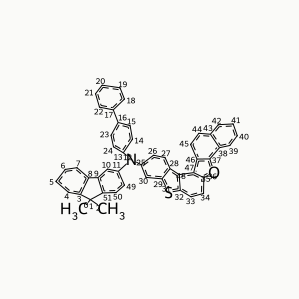 CC1(C)c2ccccc2-c2cc(N(c3ccc(-c4ccccc4)cc3)c3ccc4c(c3)sc3ccc5oc6c7ccccc7ccc6c5c34)ccc21